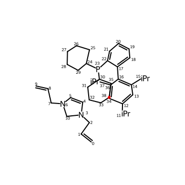 C=CCN1C=CN(CC=C)C1.CC(C)c1cc(C(C)C)c(-c2ccccc2P(C2CCCCC2)C2CCCCC2)c(C(C)C)c1